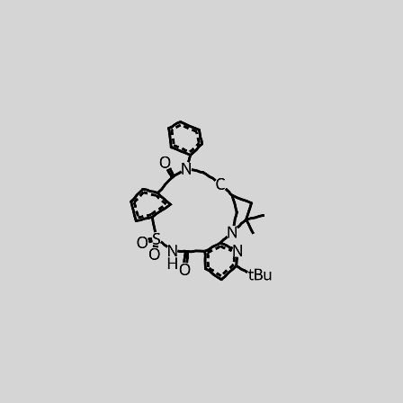 CC(C)(C)c1ccc2c(n1)N1CC(CCN(c3ccccc3)C(=O)c3cccc(c3)S(=O)(=O)NC2=O)CC1(C)C